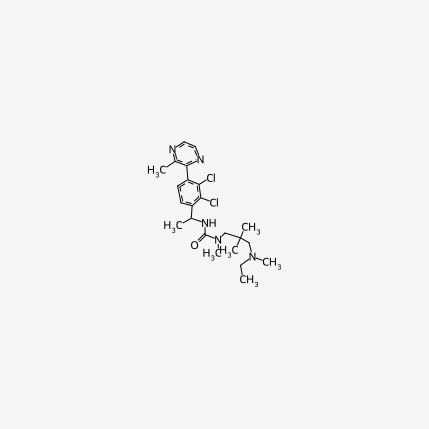 CCN(C)CC(C)(C)CN(C)C(=O)NC(C)c1ccc(-c2nccnc2C)c(Cl)c1Cl